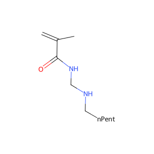 C=C(C)C(=O)NCNCCCCCC